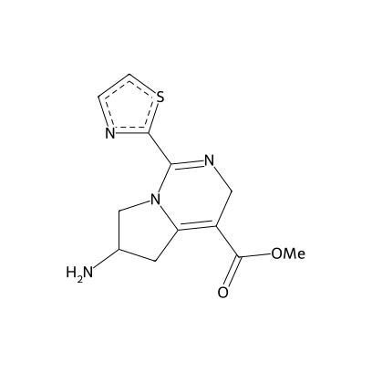 COC(=O)C1=C2CC(N)CN2C(c2nccs2)=NC1